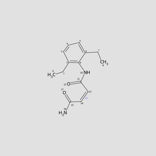 CCc1cccc(CC)c1NC(=O)/C=C\C(N)=O